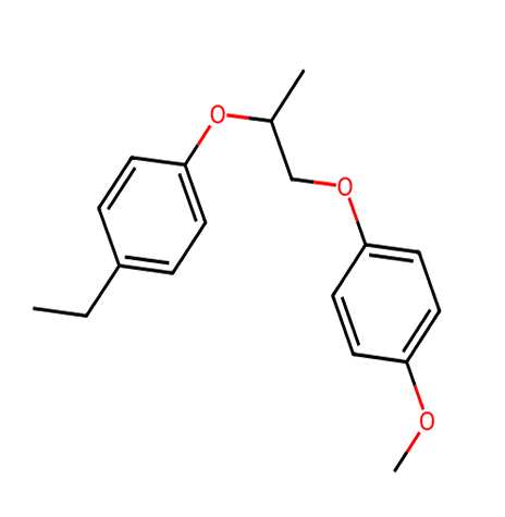 CCc1ccc(OC(C)COc2ccc(OC)cc2)cc1